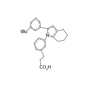 CC(C)(C)c1cccc(-c2cc3c(n2-c2cccc(CCC(=O)O)c2)CCCC3)c1